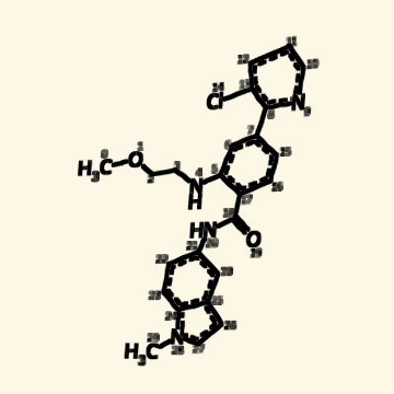 COCCNc1cc(-c2ncccc2Cl)ccc1C(=O)Nc1ccc2c(ccn2C)c1